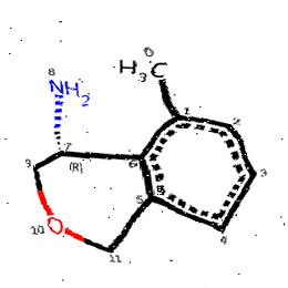 Cc1cccc2c1[C@@H](N)COC2